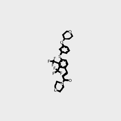 O=C(/C=C/c1ccc(Sc2cccc(OC3CCOCC3)c2)c(C(F)(F)F)c1C(F)(F)F)N1CCOCC1